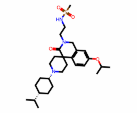 CC(C)Oc1ccc2c(c1)CN(CCNS(C)(=O)=O)C(=O)C21CCN([C@H]2CC[C@@H](C(C)C)CC2)CC1